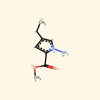 CCc1cc(C(=O)OC)n(N)c1